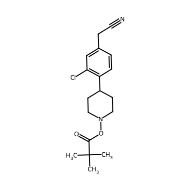 CC(C)(C)C(=O)ON1CCC(c2ccc(CC#N)cc2Cl)CC1